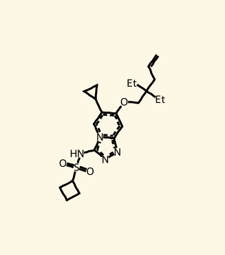 C=CCC(CC)(CC)COc1cc2nnc(NS(=O)(=O)C3CCC3)n2cc1C1CC1